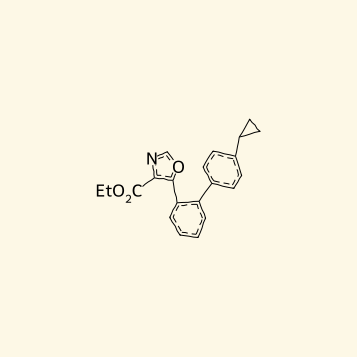 CCOC(=O)c1ncoc1-c1ccccc1-c1ccc(C2CC2)cc1